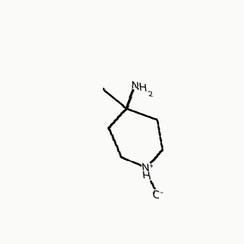 [CH2-][NH+]1CCC(C)(N)CC1